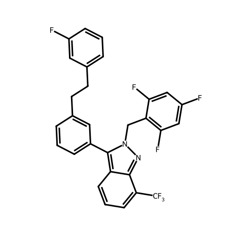 Fc1cccc(CCc2cccc(-c3c4cccc(C(F)(F)F)c4nn3Cc3c(F)cc(F)cc3F)c2)c1